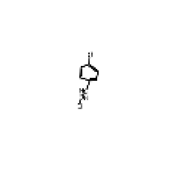 ClNNc1ccc(Cl)cc1